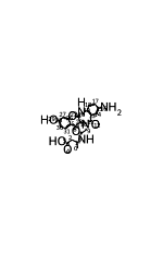 CC(CC(=O)O)NC(=O)CN1C(=O)c2cc(N)ccc2NC(=O)C1Cc1ccc(O)cc1